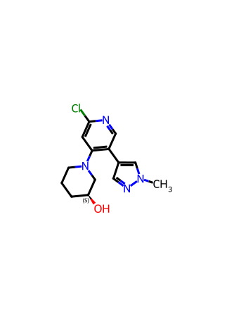 Cn1cc(-c2cnc(Cl)cc2N2CCC[C@H](O)C2)cn1